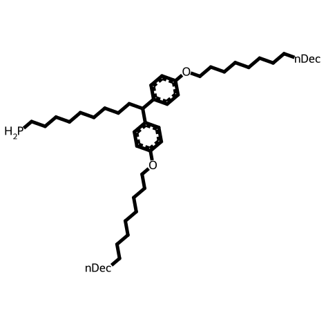 CCCCCCCCCCCCCCCCCCOc1ccc(C(CCCCCCCCCP)c2ccc(OCCCCCCCCCCCCCCCCCC)cc2)cc1